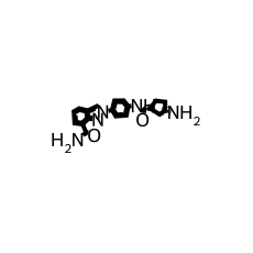 NC(=O)c1cccc2cn(-c3ccc(NC(=O)[C@H]4CC[C@H](N)C4)cc3)nc12